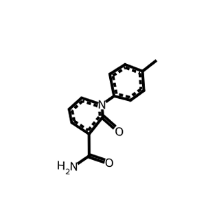 Cc1ccc(-n2cccc(C(N)=O)c2=O)cc1